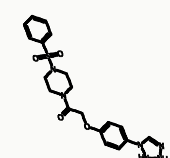 O=C(COc1ccc(N2C=NNN2)cc1)N1CCN(S(=O)(=O)c2ccccc2)CC1